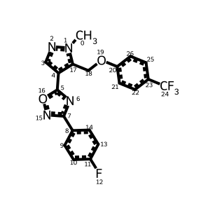 Cn1ncc(-c2nc(-c3ccc(F)cc3)no2)c1COc1ccc(C(F)(F)F)cc1